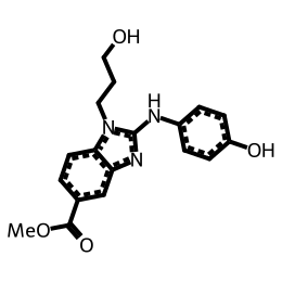 COC(=O)c1ccc2c(c1)nc(Nc1ccc(O)cc1)n2CCCO